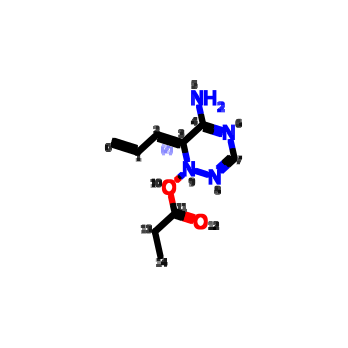 C=C/C=C1/C(N)=NC=NN1OC(=O)CC